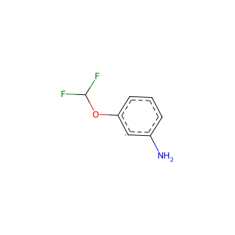 Nc1[c]c(OC(F)F)ccc1